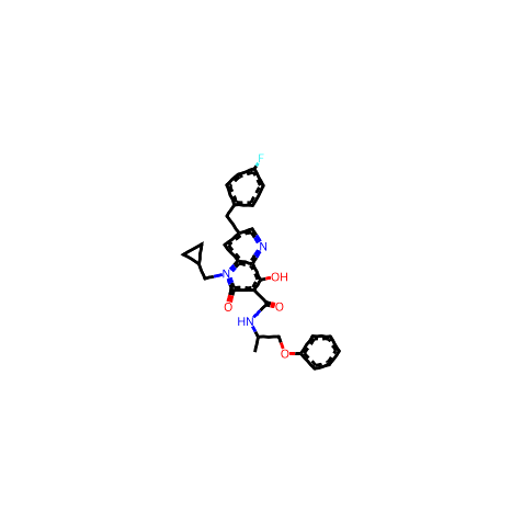 CC(COc1ccccc1)NC(=O)c1c(O)c2ncc(Cc3ccc(F)cc3)cc2n(CC2CC2)c1=O